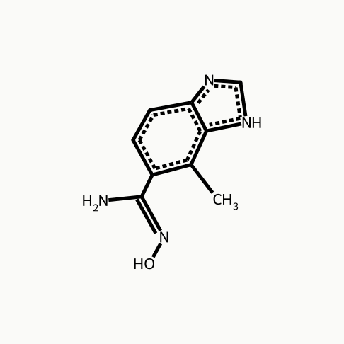 Cc1c(C(N)=NO)ccc2nc[nH]c12